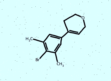 Cc1cc(C2=CCOCC2)cc(C)c1Br